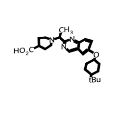 CC(c1ncc2cc(OC3CCC(C(C)(C)C)CC3)ccc2n1)N1CCC(C(=O)O)CC1